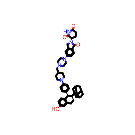 O=C1CC[C@H](N2Cc3cc(N4CCN(CC5CCN(c6ccc([C@@H]7c8ccc(O)cc8CC[C@@H]7C78CC9CC(CC(C9)C7)C8)cc6)CC5)CC4)ccc3C2=O)C(=O)N1